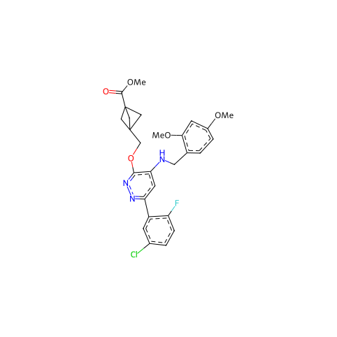 COC(=O)C12CC(COc3nnc(-c4cc(Cl)ccc4F)cc3NCc3ccc(OC)cc3OC)(C1)C2